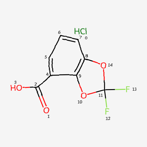 Cl.O=C(O)c1cccc2c1OC(F)(F)O2